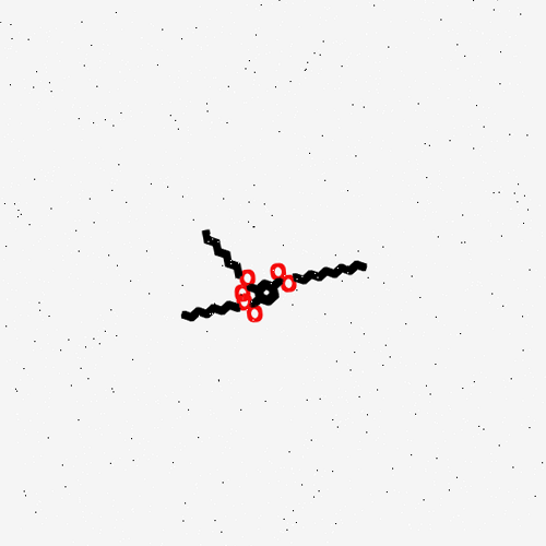 CCCCCCCCCCOC(=O)c1ccc(C(=O)OCCCCCCCC)c(C(=O)OCCCCCCCC)c1